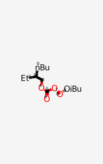 CCCCC(CC)COC(=O)OOOCC(C)C